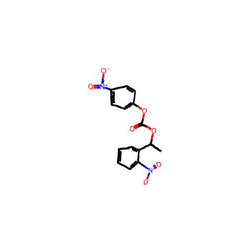 CC(OC(=O)Oc1ccc([N+](=O)[O-])cc1)c1ccccc1[N+](=O)[O-]